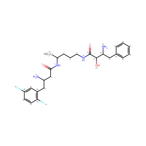 NC(CC(=O)NC(CCCNC(=O)C(O)C(N)Cc1ccccc1)C(=O)O)Cc1cc(F)ccc1F